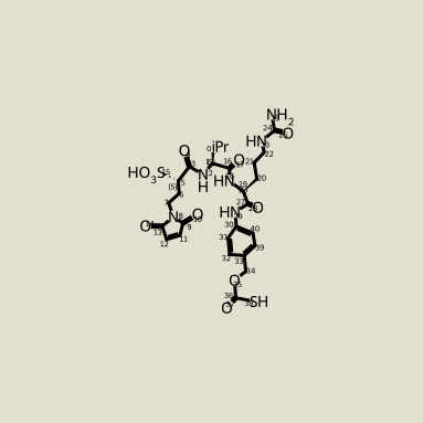 CC(C)[C@H](NC(=O)[C@H](CCN1C(=O)C=CC1=O)S(=O)(=O)O)C(=O)N[C@@H](CCCNC(N)=O)C(=O)Nc1ccc(COC(=O)S)cc1